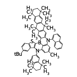 Cc1cc2c3c(c1)N(c1ccc4c(c1)C(C)(C)CCC4(C)C)c1c(sc4ccc(C(C)(C)C)cc14)B3c1cc3c(cc1N2c1cccc2ccccc12)C(C)(C)c1cc2c(cc1C3(C)C)C(C)(C)CCC2(C)C